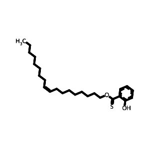 CCCCCCCC/C=C\CCCCCCCCOC(=S)c1ccccc1O